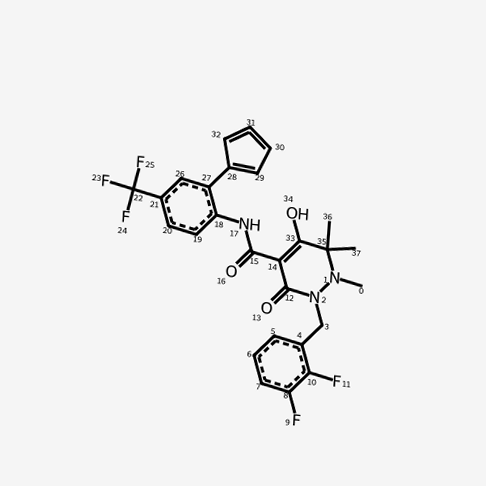 CN1N(Cc2cccc(F)c2F)C(=O)C(C(=O)Nc2ccc(C(F)(F)F)cc2C2=CC=C=C2)=C(O)C1(C)C